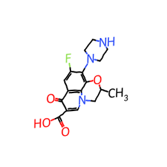 CC1Cn2cc(C(=O)O)c(=O)c3cc(F)c(N4CCNCC4)c(c32)O1